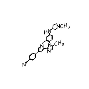 Cc1cnc2n1-c1ccc(NC3CCN(C)C3)cc1Cn1cc(-c3ccc(C#N)cc3)cc1-2